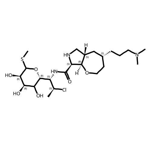 CSC1O[C@H]([C@H](NC(=O)[C@H]2NC[C@@H]3C[C@H](CCCN(C)C)CCO[C@H]32)[C@H](C)Cl)C(O)[C@@H](O)[C@H]1O